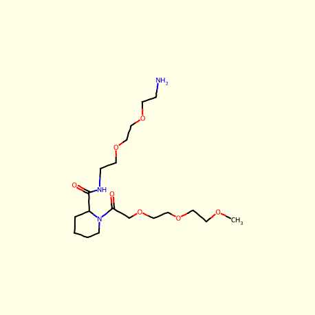 COCCOCCOCC(=O)N1CCCCC1C(=O)NCCOCCOCCN